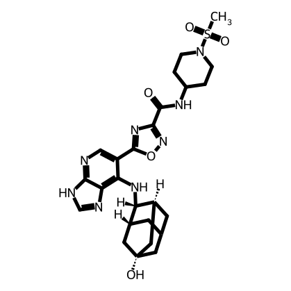 CS(=O)(=O)N1CCC(NC(=O)c2noc(-c3cnc4[nH]cnc4c3N[C@H]3[C@@H]4CC5C[C@H]3C[C@@](O)(C5)C4)n2)CC1